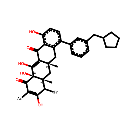 CC(=O)C1=C(O)C(C(C)C)[C@@]2(C)C[C@@]3(C)Cc4c(-c5cccc(CC6CCCC6)c5)ccc(O)c4C(=O)C3=C(O)[C@@]2(O)C1=O